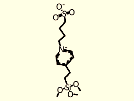 CO[Si](CCc1cc[n+](CCCCS(=O)(=O)[O-])cc1)(OC)OC